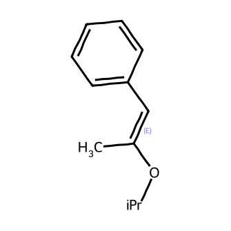 C/C(=C\c1ccccc1)OC(C)C